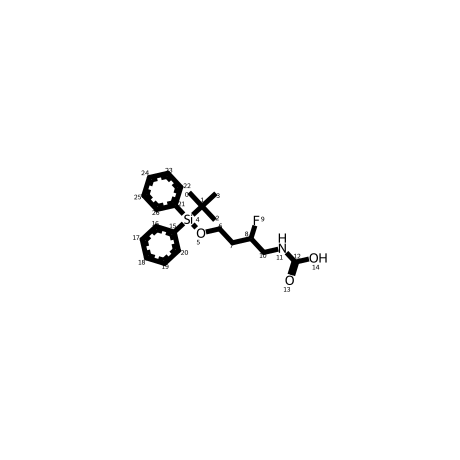 CC(C)(C)[Si](OCCC(F)CNC(=O)O)(c1ccccc1)c1ccccc1